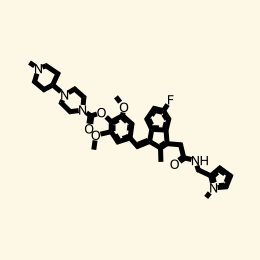 COc1cc(/C=C2/C(C)=C(CC(=O)NCc3cccn3C)c3cc(F)ccc32)cc(OC)c1OC(=O)N1CCN(C2CCN(C)CC2)CC1